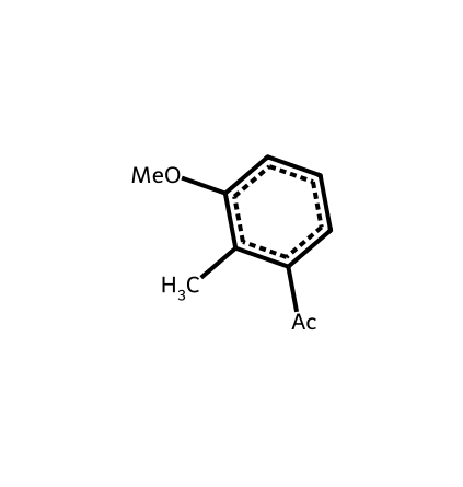 COc1cccc(C(C)=O)c1C